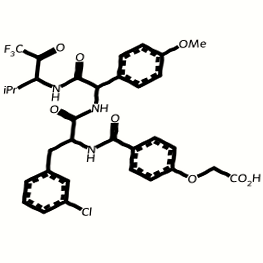 COc1ccc(C(NC(=O)C(Cc2cccc(Cl)c2)NC(=O)c2ccc(OCC(=O)O)cc2)C(=O)NC(C(=O)C(F)(F)F)C(C)C)cc1